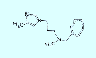 Cc1cn(CCCN(C)Cc2ccccc2)cn1